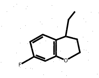 CCC1CCOc2cc(F)ccc21